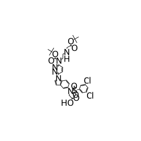 CC(C)(C)OC(=O)CNCCN(C(=O)OC(C)(C)C)c1ccc(-n2ccc3cc(N(CC(=O)O)S(=O)(=O)c4cc(Cl)cc(Cl)c4)ccc32)nn1